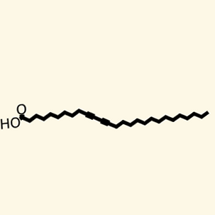 CCCCCCCCCCCCCCC#CC#CCCCCCCCCC(=O)O